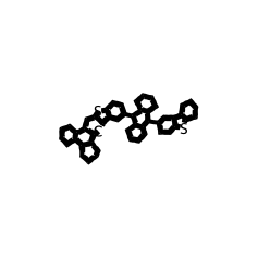 c1ccc2c(c1)sc1ccc(-c3c4ccccc4c(-c4ccc5sc6cc7c8ccccc8c8ccccc8c7cc6c5c4)c4ccccc34)cc12